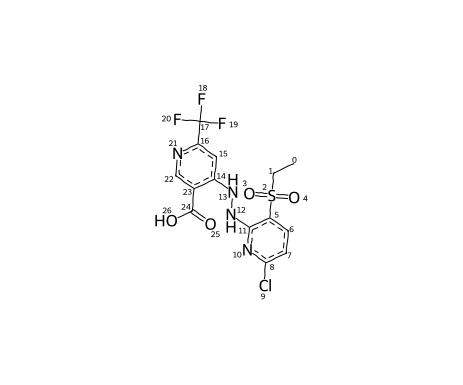 CCS(=O)(=O)c1ccc(Cl)nc1NNc1cc(C(F)(F)F)ncc1C(=O)O